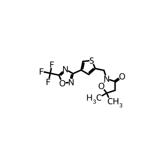 CC1(C)CC(=O)N(Cc2cc(-c3noc(C(F)(F)F)n3)cs2)O1